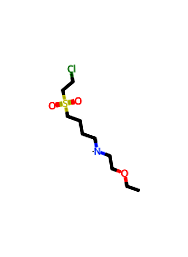 CCOCC[N]CCCCS(=O)(=O)CCCl